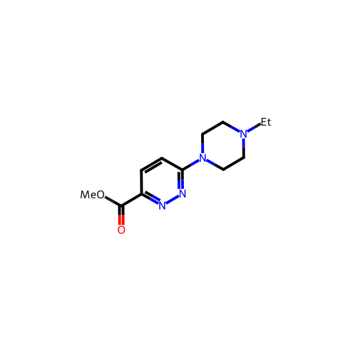 CCN1CCN(c2ccc(C(=O)OC)nn2)CC1